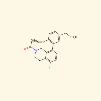 COc1ccc(CC(=O)O)cc1-c1ccc(F)c2c1CN(C(=O)OCC(C)C)CC2